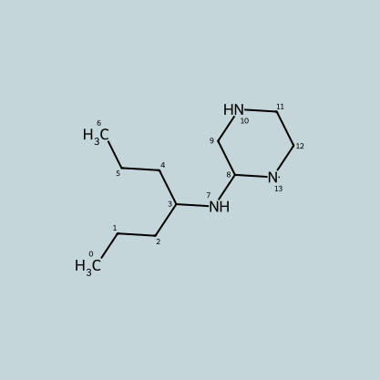 CCCC(CCC)NC1CNCC[N]1